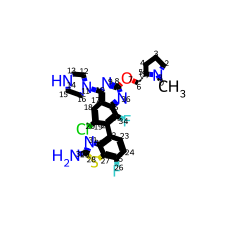 CN1CCC[C@H]1COc1nc(N2CCNCC2)c2cc(Cl)c(-c3ccc(F)c4sc(N)nc34)c(F)c2n1